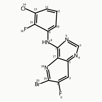 Fc1cc2ncnc(Nc3cccc(Cl)c3F)c2nc1Br